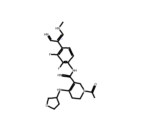 CN/C=C(\C=N)c1ccc(NC(=N)C2=C(NC3CCOC3)CCN(C(C)=O)C2)c(F)c1F